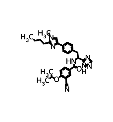 CCCCc1nc(-c2ccc(CC(NC(=O)c3ccc(OC(C)C)c(C#N)c3)c3ncn[nH]3)cc2)cn1C